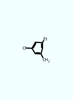 [CH2]c1cc(Cl)cc(CC)c1